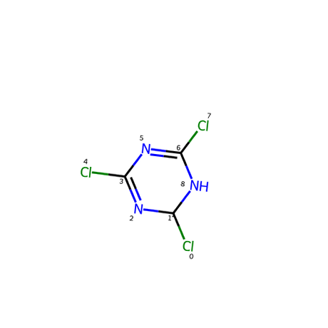 Cl[C]1N=C(Cl)N=C(Cl)N1